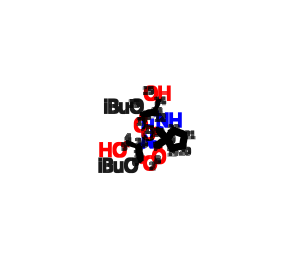 CC(C)COC(=O)[C@@H](CO)NC(=O)C1(C(=O)N[C@H](CO)C(=O)OCC(C)C)CCCC1